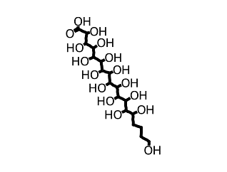 O=C(O)C(O)C(O)C(O)C(O)C(O)C(O)C(O)C(O)C(O)C(O)C(O)C(O)C(O)CCCCO